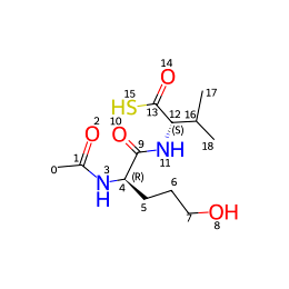 CC(=O)N[C@H](CCCO)C(=O)N[C@H](C(=O)S)C(C)C